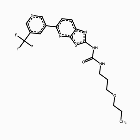 CCCOCCCNC(=O)Nc1nc2ccc(-c3cncc(C(F)(F)F)c3)nc2s1